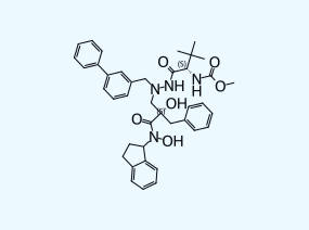 COC(=O)N[C@H](C(=O)NN(Cc1cccc(-c2ccccc2)c1)C[C@@](O)(Cc1ccccc1)C(=O)N(O)C1CCc2ccccc21)C(C)(C)C